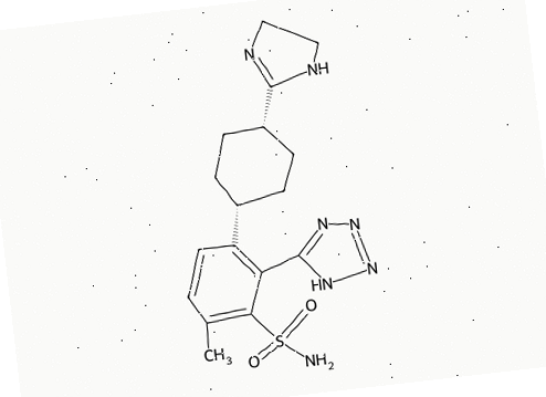 Cc1ccc([C@H]2CC[C@@H](C3=NCCN3)CC2)c(-c2nnn[nH]2)c1S(N)(=O)=O